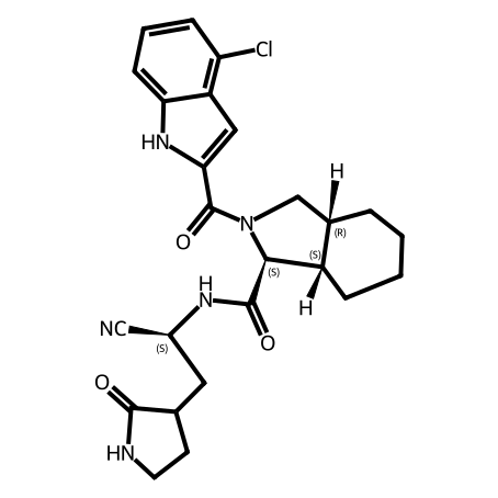 N#C[C@H](CC1CCNC1=O)NC(=O)[C@@H]1[C@H]2CCCC[C@H]2CN1C(=O)c1cc2c(Cl)cccc2[nH]1